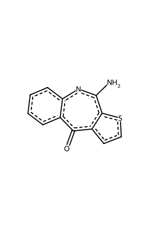 Nc1nc2ccccc2c(=O)c2ccsc12